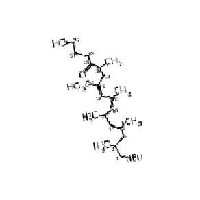 CCC(C)CC(C)CC(C)CC(C)C=C(C)C=C(CC(C)C(=O)CCCO)C(=O)O